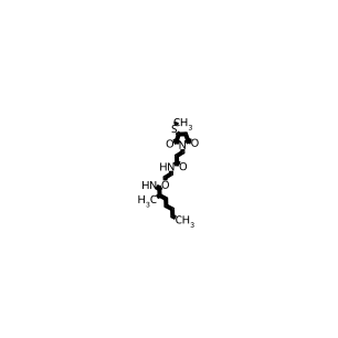 CCCCCC(C)C(=N)OCCNC(=O)CCN1C(=O)CC(SC)C1=O